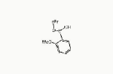 CCCOB(O)c1cccnc1OC